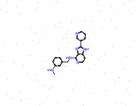 CN(C)c1cccc(CNc2nccc3[nH]c(-c4cccnc4)nc23)c1